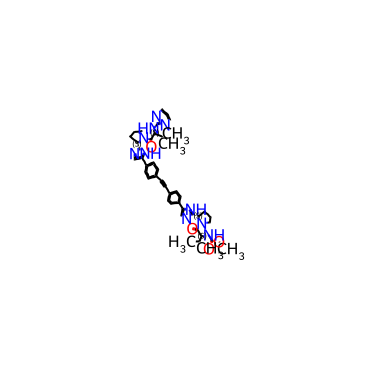 COC(=O)N[C@H](C(=O)N1CCC[C@H]1c1ncc(-c2ccc(C#Cc3ccc(-c4cnc([C@@H]5CCCN5C(=O)[C@@H](Nc5ncccn5)C(C)C)[nH]4)cc3)cc2)[nH]1)C(C)C